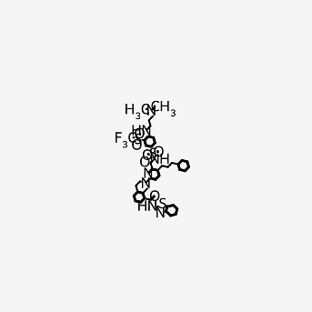 CN(C)CCCNc1ccc(S(=O)(=O)NC(=O)c2nc(N3CCc4cccc(C(=O)Nc5nc6ccccc6s5)c4C3)ccc2CCCc2ccccc2)cc1S(=O)(=O)C(F)(F)F